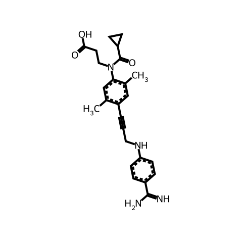 Cc1cc(N(CCC(=O)O)C(=O)C2CC2)c(C)cc1C#CCNc1ccc(C(=N)N)cc1